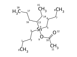 CCC[CH2][Sn]([CH2]CCC)([O]C(C)=O)[CH](CC)CCC